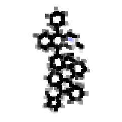 C=C/C=C\c1c(C)c(-c2cccc3c2oc2cccc(-c4c5ccccc5c(-c5cocc5C)c5ccccc45)c23)c2ccccc2c1-c1ccccc1